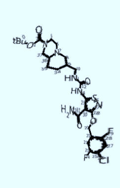 CC(C)(C)OC(=O)N1CCN2CC(CNC(=O)Nc3snc(OCc4cc(F)c(Cl)cc4F)c3C(N)=O)CCC2C1